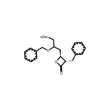 CCCCCCCCCCCC(C[C@@H]1OC(=O)[C@H]1Cc1ccccc1)OCc1ccccc1